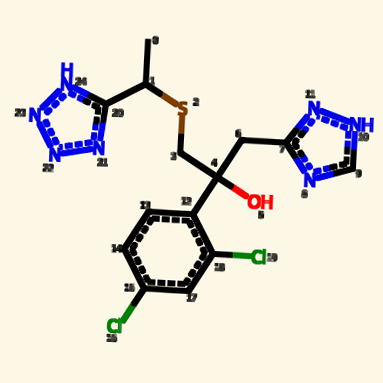 CC(SCC(O)(Cc1nc[nH]n1)c1ccc(Cl)cc1Cl)c1nnn[nH]1